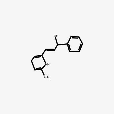 CC1=CCC=C(C=CC(O)c2ccccc2)N1